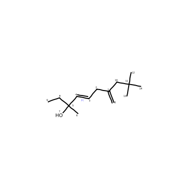 C=C(C/C=C/C(C)(O)CC)CC(C)(C)C